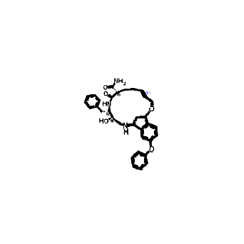 NC(=O)[C@@H]1CC/C=C/COC2CC(NC[C@@H](O)[C@H](Cc3ccccc3)NC1=O)c1cc(Oc3ccccc3)ccc12